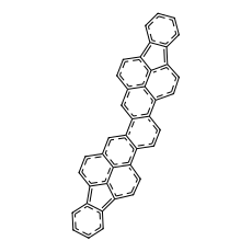 c1ccc2c(c1)=c1ccc3cc4c5cc6ccc7c8c(ccc(c5ccc4c4ccc=2c1c34)c68)=c1ccccc1=7